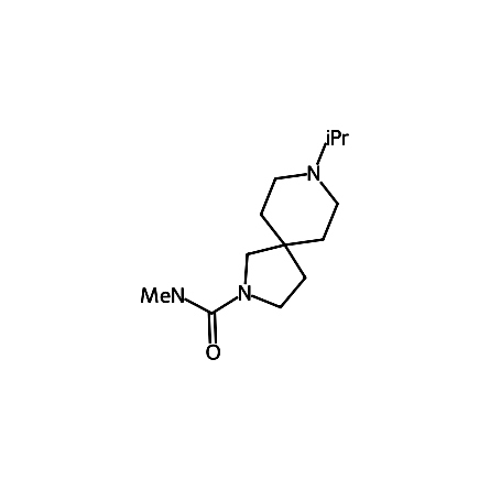 CNC(=O)N1CCC2(CCN(C(C)C)CC2)C1